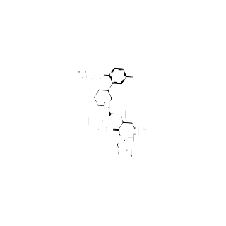 C=C(NC(CC(C)C)C(=O)NCC#N)N1CCCC(c2cc(F)ccc2OC)C1